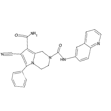 N#Cc1c(C(N)=O)c2n(c1-c1ccccc1)CCN(C(=O)Nc1ccc3ncccc3c1)C2